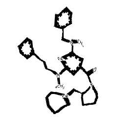 CN(CCc1ccccc1)c1cc(C(=O)N2CCC[C@H]2CN2CCCC2)cc(N(C)Cc2ccccc2)n1